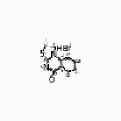 Br.C[C@@H]1Cn2c(nc(=O)c3ccccc32)S1